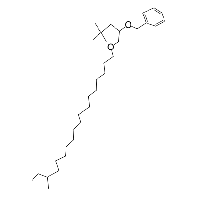 CCC(C)CCCCCCCCCCCCCCCOCC(CC(C)(C)C)OCc1ccccc1